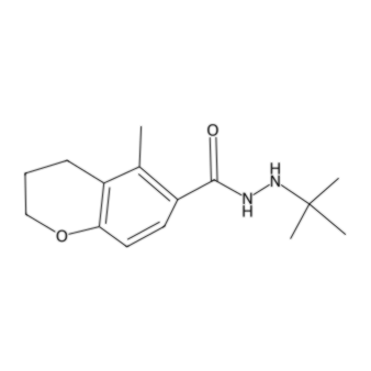 Cc1c(C(=O)NNC(C)(C)C)ccc2c1CCCO2